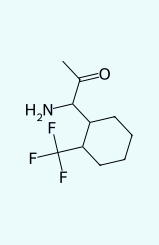 CC(=O)C(N)C1CCCCC1C(F)(F)F